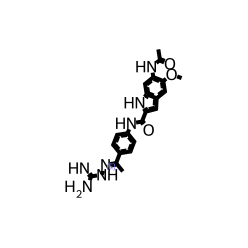 COc1cc2cc(C(=O)Nc3ccc(/C(C)=N/NC(=N)N)cc3)[nH]c2cc1NC(C)=O